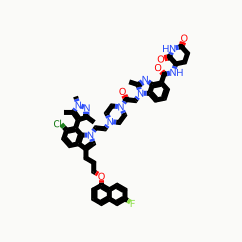 Cc1nn(C)c(C)c1-c1c(Cl)ccc2c(CCCOc3cccc4cc(F)ccc34)cn(CCN3CCN(C(=O)Cn4c(C)nc5c(C(=O)NC6CCC(=O)NC6=O)cccc54)CC3)c12